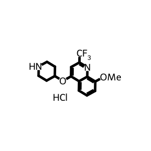 COc1cccc2c(OC3CCNCC3)cc(C(F)(F)F)nc12.Cl